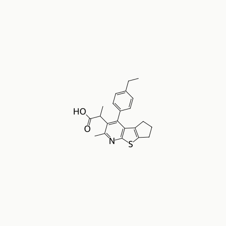 CCc1ccc(-c2c(C(C)C(=O)O)c(C)nc3sc4c(c23)CCC4)cc1